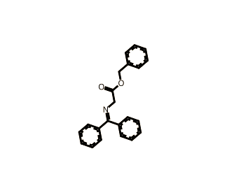 O=C(CN=C(c1ccccc1)c1ccccc1)OCc1ccccc1